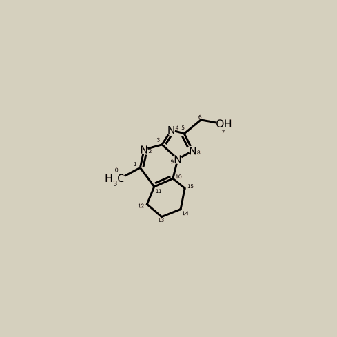 Cc1nc2nc(CO)nn2c2c1CCCC2